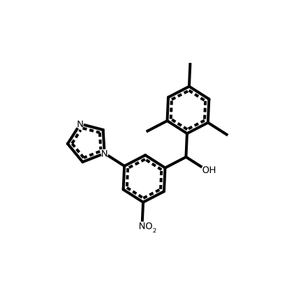 Cc1cc(C)c(C(O)c2cc(-n3ccnc3)cc([N+](=O)[O-])c2)c(C)c1